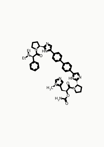 CCN(CC)[C@@H](C(=O)N1CCC[C@H]1c1ncc(-c2ccc(-c3ccc(-c4cnc([C@@H]5CCCN5C(=O)[C@H](Cc5cncn5C)OC(N)=O)[nH]4)cc3)cc2)[nH]1)c1ccccc1